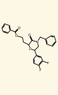 O=C(OCCC1OC(c2ccc(F)c(F)c2)CN(Cc2ccccc2)C1=O)c1ccccc1